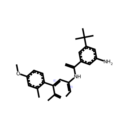 C=C(C)/C(=C\C(=C/C)NC(=C)c1cc(N)cc(C(C)(C)C)c1)c1ccc(OC)cc1C